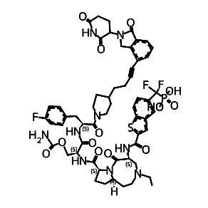 CCN1CC[C@H]2CC[C@@H](C(=O)N[C@@H](COC(N)=O)C(=O)N[C@@H](Cc3ccc(F)cc3)C(=O)N3CCC(CCC#Cc4cccc5c4CN(C4CCC(=O)NC4=O)C5=O)CC3)N2C(=O)[C@@H](NC(=O)c2cc3cc(C(F)(F)P(=O)(O)O)ccc3s2)C1